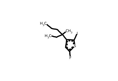 CCCC(C)(CC)c1cc(F)sc1I